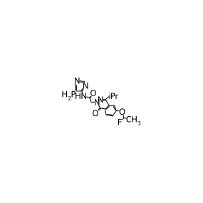 CC(F)Oc1ccc2c(=O)n(CC(=O)Nc3ncncc3P)nc(C(C)C)c2c1